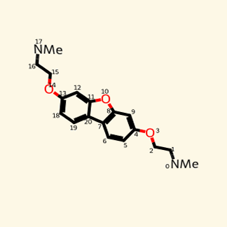 CNCCOc1ccc2c(c1)oc1cc(OCCNC)ccc12